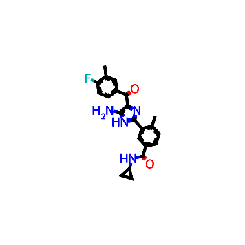 Cc1cc(C(=O)c2nc(-c3cc(C(=O)NC4CC4)ccc3C)[nH]c2N)ccc1F